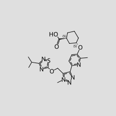 Cc1nc(-c2nnn(C)c2COc2nc(C(C)C)ns2)ccc1O[C@H]1CCC[C@H](C(=O)O)C1